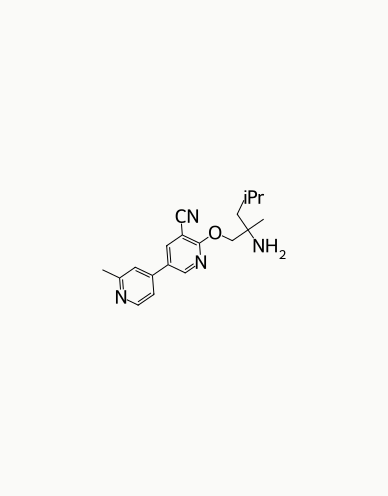 Cc1cc(-c2cnc(OCC(C)(N)CC(C)C)c(C#N)c2)ccn1